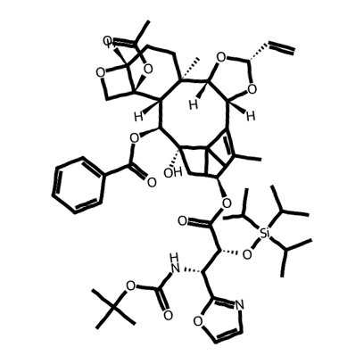 C=C[C@@H]1O[C@@H]2C3=C(C)[C@@H](OC(=O)[C@H](O[Si](C(C)C)(C(C)C)C(C)C)[C@@H](NC(=O)OC(C)(C)C)c4ncco4)C[C@@](O)([C@@H](OC(=O)c4ccccc4)[C@H]4[C@@](C)(CC[C@H]5OC[C@]54OC(C)=O)[C@@H]2O1)C3(C)C